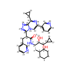 O=C(N[C@@H](CC1CCCCC1)[C@@H](O)[C@@H](O)C1CC1)[C@@H](Cc1cccnc1)c1nnc2c(C3CC3)nc(-c3cccnc3)cn12